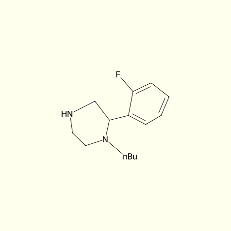 CCCCN1CCNCC1c1ccccc1F